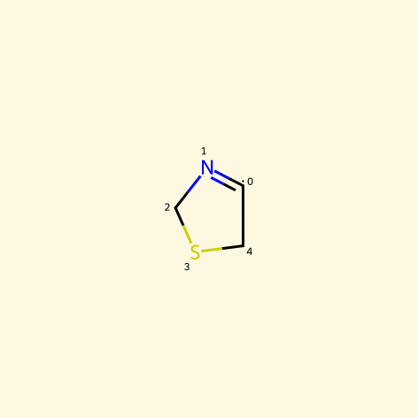 [C]1=NCSC1